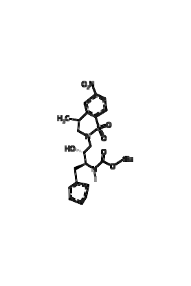 CC1CN(C[C@@H](O)[C@H](Cc2ccccc2)N(I)C(=O)OC(C)(C)C)S(=O)(=O)c2ccc([N+](=O)[O-])cc21